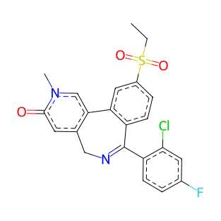 CCS(=O)(=O)c1ccc2c(c1)-c1cn(C)c(=O)cc1CN=C2c1ccc(F)cc1Cl